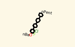 CCCCCC1CCC(C2CCC(C3CC=C(c4ccc(OCCCC)c(F)c4Cl)CC3)CC2)CC1